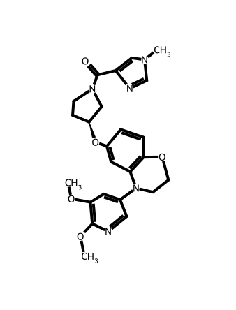 COc1cc(N2CCOc3ccc(O[C@H]4CCN(C(=O)c5cn(C)cn5)C4)cc32)cnc1OC